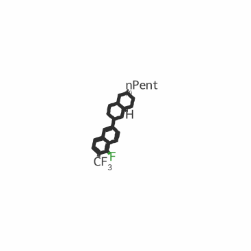 CCCCC[C@@H]1CC[C@@H]2CC(c3ccc4c(F)c(C(F)(F)F)ccc4c3)CCC2C1